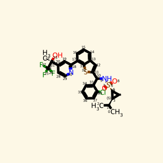 CC(C)[C@@H]1C[C@H]1S(=O)(=O)NC(c1cc2cccc(-c3cc([C@](C)(O)C(F)(F)F)ccn3)c2s1)c1ccccc1Cl